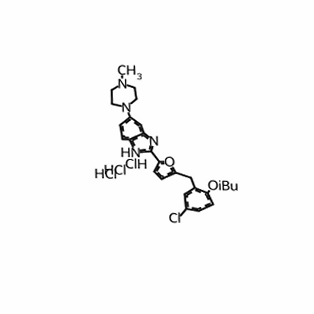 CC(C)COc1ccc(Cl)cc1Cc1ccc(-c2nc3cc(N4CCN(C)CC4)ccc3[nH]2)o1.Cl.Cl.Cl